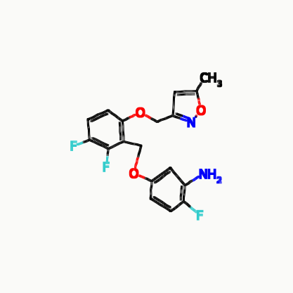 Cc1cc(COc2ccc(F)c(F)c2COc2ccc(F)c(N)c2)no1